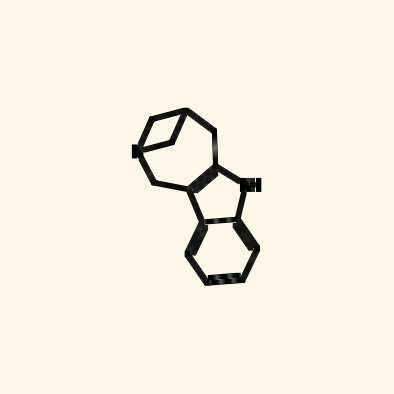 c1ccc2c3c([nH]c2c1)CC1CN(C3)C1